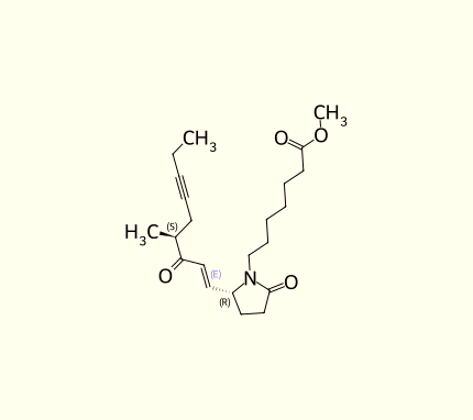 CCC#CC[C@H](C)C(=O)/C=C/[C@H]1CCC(=O)N1CCCCCCC(=O)OC